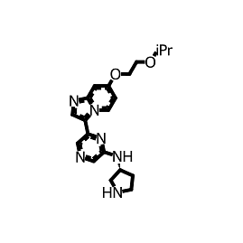 CC(C)OCCOc1ccn2c(-c3cncc(N[C@@H]4CCNC4)n3)cnc2c1